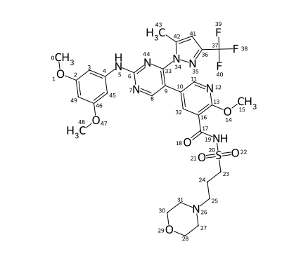 COc1cc(Nc2ncc(-c3cnc(OC)c(C(=O)NS(=O)(=O)CCCN4CCOCC4)c3)c(-n3nc(C(F)(F)F)cc3C)n2)cc(OC)c1